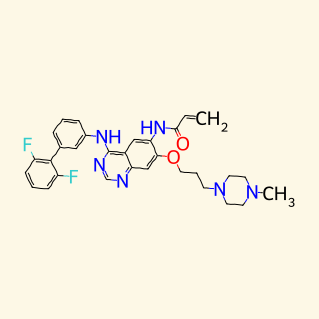 C=CC(=O)Nc1cc2c(Nc3cccc(-c4c(F)cccc4F)c3)ncnc2cc1OCCCN1CCN(C)CC1